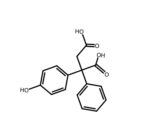 O=C(O)CC(C(=O)O)(c1ccccc1)c1ccc(O)cc1